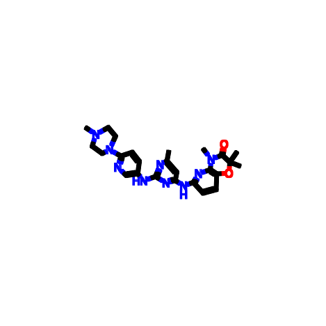 Cc1cc(Nc2ccc3c(n2)N(C)C(=O)C(C)(C)O3)nc(Nc2ccc(N3CCN(C)CC3)nc2)n1